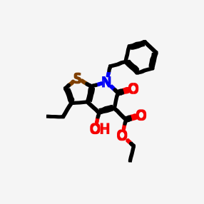 CCOC(=O)c1c(O)c2c(CC)csc2n(Cc2ccccc2)c1=O